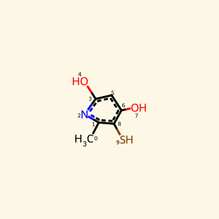 Cc1nc(O)cc(O)c1S